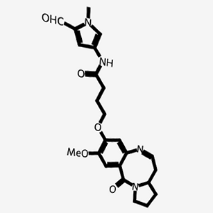 COc1cc2c(cc1OCCCC(=O)Nc1cc(C=O)n(C)c1)/N=C\CC1CCCN1C2=O